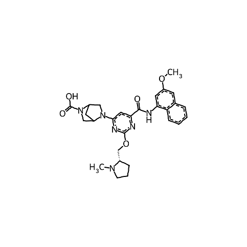 COc1cc(NC(=O)c2cc(N3CC4CC3CN4C(=O)O)nc(OC[C@@H]3CCCN3C)n2)c2ccccc2c1